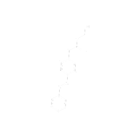 CCOC(=O)Cc1ccc(N=Nc2ccccc2)cc1